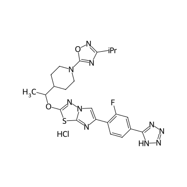 CC(C)c1noc(N2CCC(C(C)Oc3nn4cc(-c5ccc(-c6nnn[nH]6)cc5F)nc4s3)CC2)n1.Cl